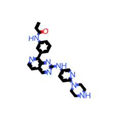 C=CC(=O)Nc1cccc(-c2nccc3cnc(Nc4ccc(N5CCNCC5)nc4)nc23)c1